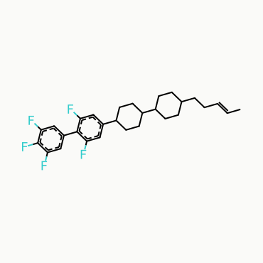 C/C=C/CCC1CCC(C2CCC(c3cc(F)c(-c4cc(F)c(F)c(F)c4)c(F)c3)CC2)CC1